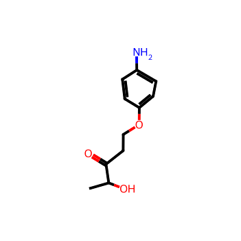 CC(O)C(=O)CCOc1ccc(N)cc1